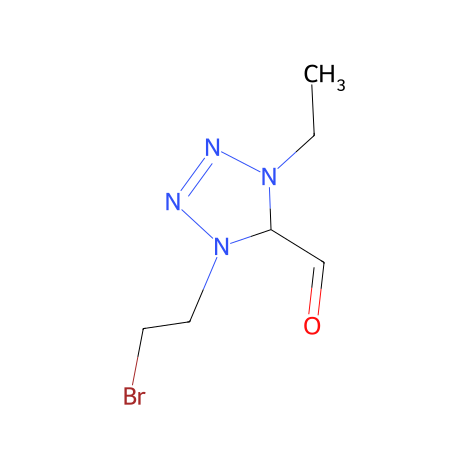 CCN1N=NN(CCBr)C1C=O